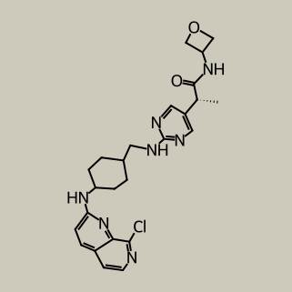 C[C@@H](C(=O)NC1COC1)c1cnc(NCC2CCC(Nc3ccc4ccnc(Cl)c4n3)CC2)nc1